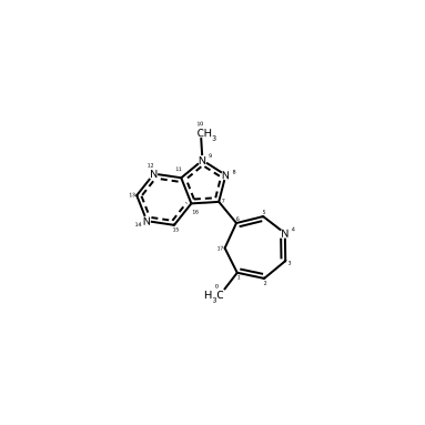 CC1=CC=NC=C(c2nn(C)c3ncncc23)C1